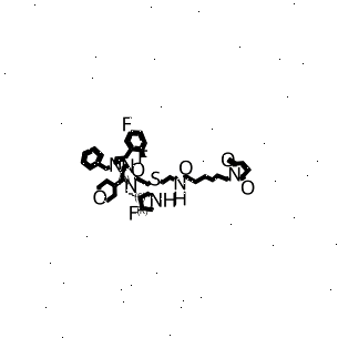 O=C(CCCCCN1C(=O)C=CC1=O)NCCSCC(=O)N(C[C@@H]1CNC[C@@H]1F)[C@@H](c1nc(-c2cc(F)ccc2F)cn1Cc1ccccc1)C1CCOCC1